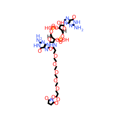 Nc1nc2c(ncn2[C@@H]2O[C@@H]3COP(=O)(O)OC4[C@@H](COP(=O)(O)OC3[C@@H]2O)O[C@@H](n2cnc3c(=O)[nH]c(N)nc32)[C@H]4NC(=O)CCOCCOCCOCCOCCOCCC(=O)ON2C(=O)CCC2=O)c(=O)[nH]1